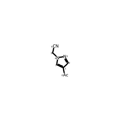 CC(=O)c1cnn(CC#N)c1